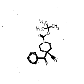 CC(C)(C)OC(=O)N1CCC(C#N)(C(F)c2ccccc2)CC1